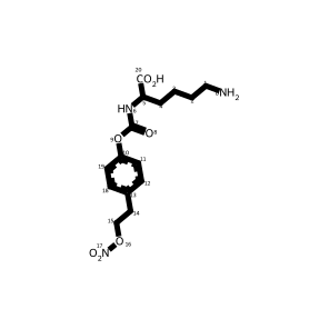 NCCCCC(NC(=O)Oc1ccc(CCO[N+](=O)[O-])cc1)C(=O)O